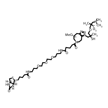 CO[C@@H]1Cc2nnn(CC(C)(S)COCC(C)(C)CN(C)C)c2CCN(C(=O)CCCC(=O)NCCCOCCOCCOCCCNC(=O)CCCC[C@@H]2SC[C@@H]3NC(=O)N[C@@H]32)C1